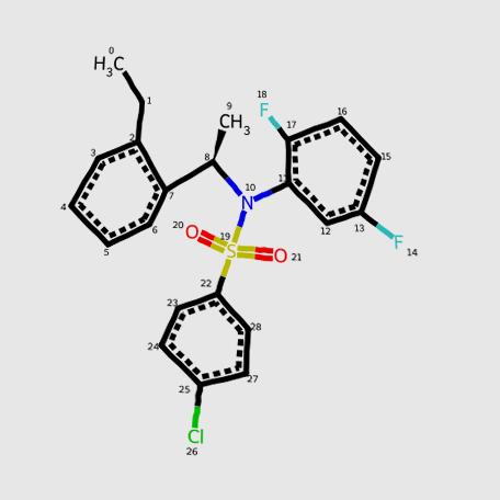 C[CH]c1ccccc1[C@@H](C)N(c1cc(F)ccc1F)S(=O)(=O)c1ccc(Cl)cc1